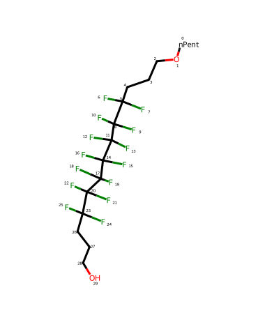 CCCCCOCCCC(F)(F)C(F)(F)C(F)(F)C(F)(F)C(F)(F)C(F)(F)C(F)(F)CCCO